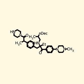 CCCCCCCCCCC(C)CNC(CC)(Cc1ccc(C(C)C(=O)N2CCNCC2)cc1)C(=O)c1ccc(N2CCN(C)CC2)cc1